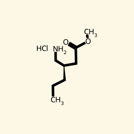 CCC[C@@H](CN)CC(=O)OC.Cl